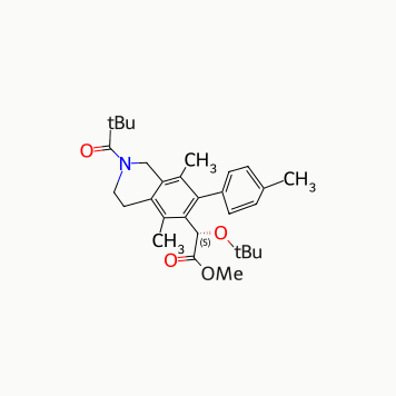 COC(=O)[C@@H](OC(C)(C)C)c1c(C)c2c(c(C)c1-c1ccc(C)cc1)CN(C(=O)C(C)(C)C)CC2